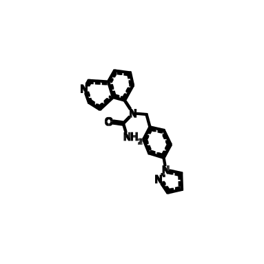 NC(=O)N(Cc1ccc(-n2cccn2)cc1)c1cccc2cnccc12